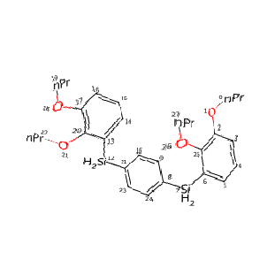 CCCOc1cccc([SiH2]c2ccc([SiH2]c3cccc(OCCC)c3OCCC)cc2)c1OCCC